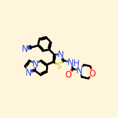 N#Cc1cccc(-c2nc(NC(=O)N3CCOCC3)sc2-c2ccc3nccn3c2)c1